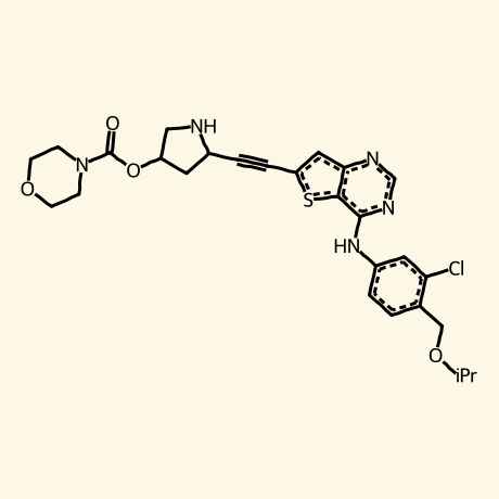 CC(C)OCc1ccc(Nc2ncnc3cc(C#CC4CC(OC(=O)N5CCOCC5)CN4)sc23)cc1Cl